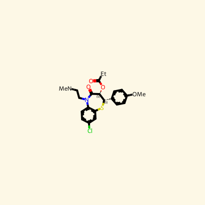 CCC(=O)O[C@H]1C(=O)N(CCNC)c2ccc(Cl)cc2S[C@H]1c1ccc(OC)cc1